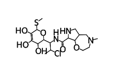 CSC1OC(C(NC(=O)C2NCC3CN(C)CCOC32)C(C)Cl)C(O)C(O)=C1O